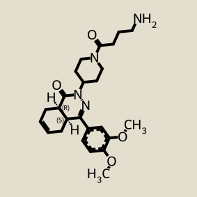 COc1ccc(C2=NN(C3CCN(C(=O)CCCN)CC3)C(=O)[C@@H]3CC=CC[C@H]23)cc1OC